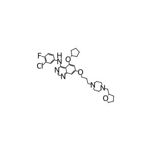 Fc1ccc(Nc2ncnc3cc(OCCCN4CCN(CC5CCCO5)CC4)cc(OC4CCCC4)c23)cc1Cl